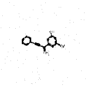 C=C(C#Cc1ccccc1)c1cc(O)cc(O)c1